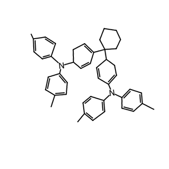 Cc1ccc(N(C2=CCC(C3(C4=CCC(N(c5ccc(C)cc5)c5ccc(C)cc5)C=C4)CCCCC3)C=C2)c2ccc(C)cc2)cc1